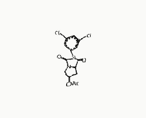 CC(=O)OC1CC2C(=O)N(c3cc(Cl)cc(Cl)c3)C(=O)N2C1